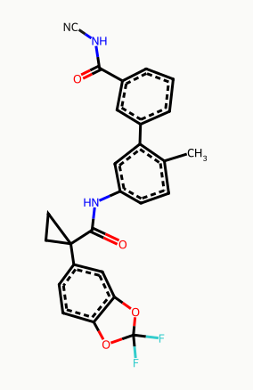 Cc1ccc(NC(=O)C2(c3ccc4c(c3)OC(F)(F)O4)CC2)cc1-c1cccc(C(=O)NC#N)c1